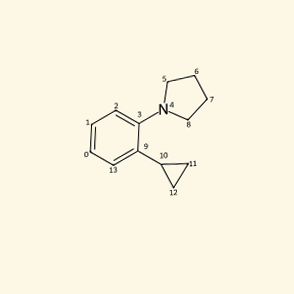 c1ccc(N2CCCC2)c(C2CC2)c1